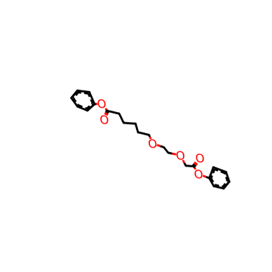 O=C(CCCCCOCCOCC(=O)Oc1ccccc1)Oc1ccccc1